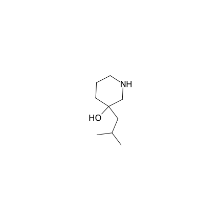 CC(C)CC1(O)CCCNC1